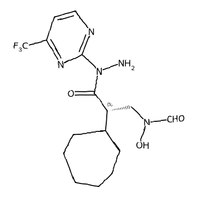 NN(C(=O)[C@H](CN(O)C=O)C1CCCCCC1)c1nccc(C(F)(F)F)n1